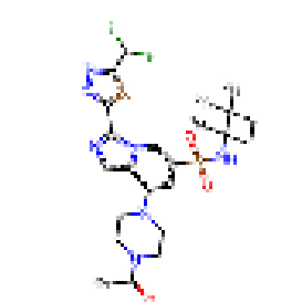 [2H]C1([2H])CCC1([2H])NS(=O)(=O)c1cc(N2CCN(C(=O)C(C)C)CC2)c2cnc(-c3nnc(C(F)F)s3)n2c1